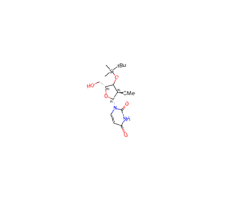 CO[C@@H]1C(O[Si](C)(C)C(C)(C)C)[C@@H](CO)O[C@H]1n1ccc(=O)[nH]c1=O